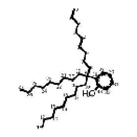 CCCCCCCCCC(CCCCCCCCC)(CCCCCCCCC)c1ccccc1O